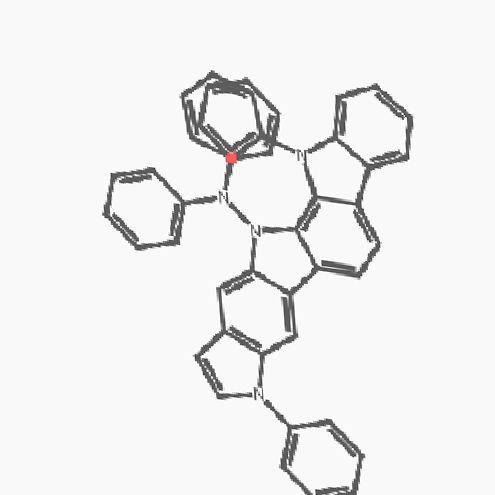 c1ccc(N(c2ccccc2)n2c3cc4ccn(-c5ccccc5)c4cc3c3ccc4c5ccccc5n(-c5ccccc5)c4c32)cc1